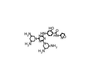 N[C@@H]1C[C@H](N)CN(c2nc(Nc3ccc(C(=O)Nc4ccon4)c(O)c3)nc(N3C[C@H](N)C[C@H](N)C3)n2)C1